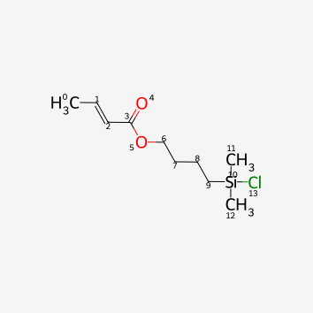 CC=CC(=O)OCCCC[Si](C)(C)Cl